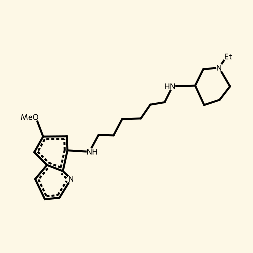 CCN1CCCC(NCCCCCCNc2cc(OC)cc3cccnc23)C1